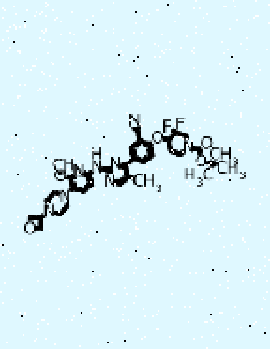 COc1nc(Nc2ncc(C)c(-c3ccc(OC4CCN(C(=O)OC(C)(C)C)CC4(F)F)c(C#N)c3)n2)ccc1N1CCN(C2COC2)CC1